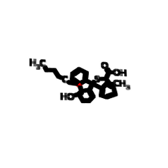 CCCCCCCc1c(O)cccc1C(SC(CC)C(=O)O)(c1ccccc1)c1ccccc1